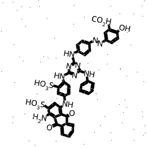 Nc1c(S(=O)(=O)O)cc(Nc2ccc(Nc3nc(Nc4ccccc4)nc(Nc4ccc(N=Nc5ccc(O)c(C(=O)O)c5)cc4)n3)c(S(=O)(=O)O)c2)c2c1C(=O)c1ccccc1C2=O